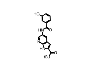 CC(C)(C)C(=O)c1cc2cc(NC(=O)c3cccc(O)c3)cnc2[nH]1